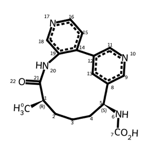 C[C@@H]1CCC[C@H](NC(=O)O)c2cncc(c2)-c2ccncc2NC1=O